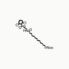 CCCCCCCCCC=CC=CC=CC=CC=CC=CC(=O)NCCOC(=O)c1c(Cl)cccc1Cl